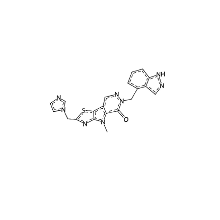 Cn1c2nc(Cn3ccnc3)sc2c2cnn(Cc3cccc4[nH]ncc34)c(=O)c21